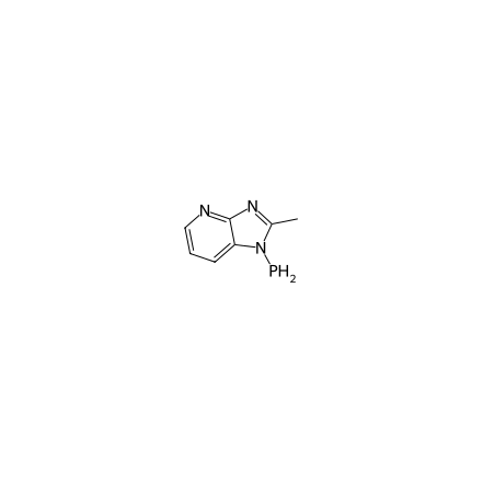 Cc1nc2ncccc2n1P